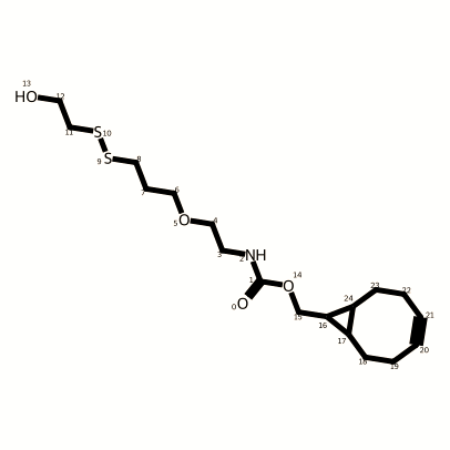 O=C(NCCOCCCSSCCO)OCC1C2CCC#CCCC21